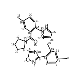 Cc1ccc(-c2noc([C@@H]3CCCN3C(=O)c3cc(C)ccc3-n3nccn3)n2)c(C)c1